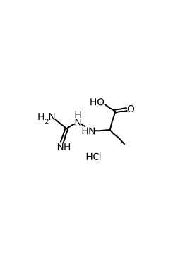 CC(NNC(=N)N)C(=O)O.Cl